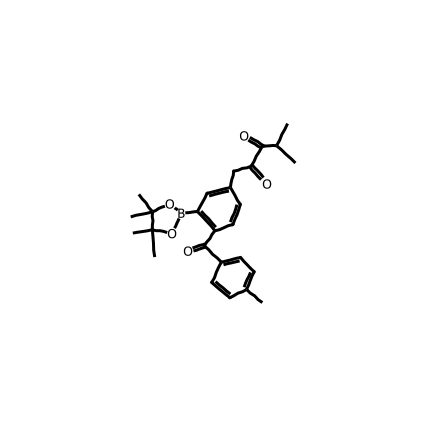 Cc1ccc(C(=O)c2ccc(CC(=O)C(=O)C(C)C)cc2B2OC(C)(C)C(C)(C)O2)cc1